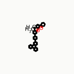 CC1(C)c2ccc(-c3ccc(-c4ccc5c6ccccc6c6ccccc6c5c4)cc3)cc2Oc2c1ccc1c3c(oc21)CCC=C3